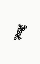 Cc1cccc(N(c2cccc3c2Cc2ccccc2-3)c2ccc3ccc4c(N(c5cccc(C)c5)c5cccc6c5oc5ccccc56)ccc5ccc2c3c54)c1